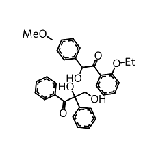 CCOc1ccccc1C(=O)C(O)c1ccccc1.COC.O=C(c1ccccc1)C(O)(CO)c1ccccc1